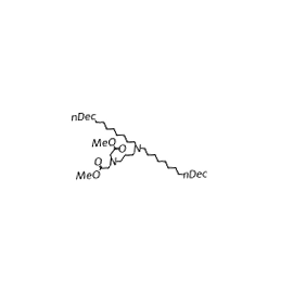 CCCCCCCCCCCCCCCCCCN(CCCCCCCCCCCCCCCCCC)CCCN(CC(=O)OC)CC(=O)OC